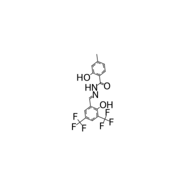 Cc1ccc(C(=O)N/N=C/c2cc(C(F)(F)F)cc(C(F)(F)F)c2O)c(O)c1